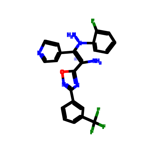 N/C(=C(/c1ccncc1)N(N)c1ccccc1F)c1nc(-c2cccc(C(F)(F)F)c2)no1